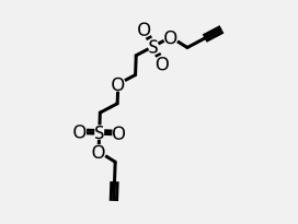 C#CCOS(=O)(=O)CCOCCS(=O)(=O)OCC#C